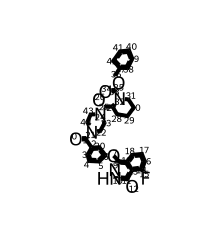 O=C(c1cccc(Oc2n[nH]c(=O)c3c(F)cccc23)c1)N1CCN(C(=O)C2CCCCN2C(=O)OCc2ccccc2)CC1